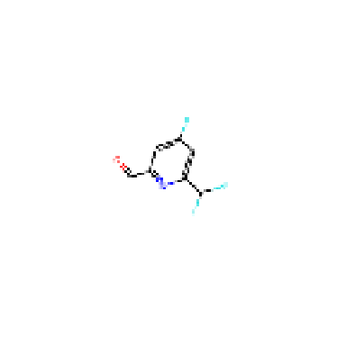 O=Cc1cc(F)cc(C(F)F)n1